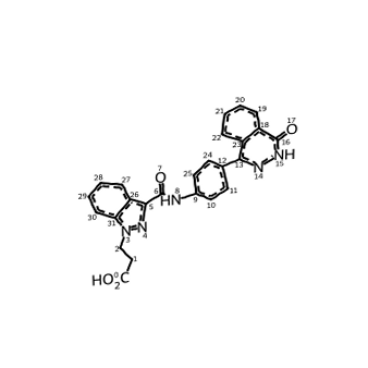 O=C(O)CCn1nc(C(=O)Nc2ccc(-c3n[nH]c(=O)c4ccccc34)cc2)c2ccccc21